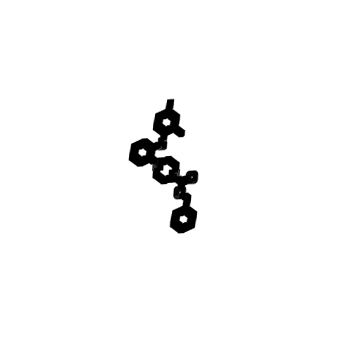 Cc1ccc(Sc2ccccc2N2CCN(C(=O)OCc3ccccc3)CC2)c(C)c1